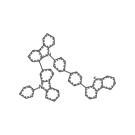 c1ccc(-n2c3ccccc3c3ccc(-c4cccc5c6ccccc6n(-c6ccc(-c7ccc(-c8cccc9c8sc8ccccc89)cc7)cc6)c45)cc32)cc1